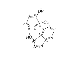 On1nnc2ccccc21.[O-][n+]1ccccc1O